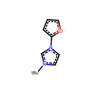 CC(C)(C)[n+]1ccn(-c2ccco2)c1